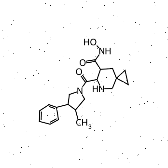 CC1CN(C(=O)C2NCC3(CC3)CC2C(=O)NO)CC1c1ccccc1